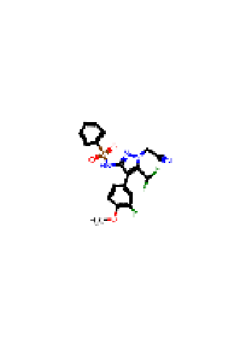 COc1ccc(-c2c(NS(=O)(=O)c3ccccc3)nn(CC#N)c2C(F)F)cc1F